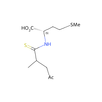 CSCC[C@H](NC(=S)C(C)CC(C)=O)C(=O)O